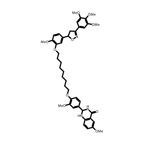 COc1ccc2c(c1)C(=O)NC(c1ccc(OCCCCCCCCCOc3cc(C4CC(c5cc(OC)c(OC)c(OC)c5)=NO4)ccc3OC)c(OC)c1)N2